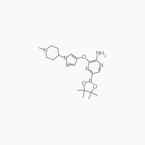 CN1CCC(n2cc(Oc3nc(B4OC(C)(C)C(C)(C)O4)cnc3N)cn2)CC1